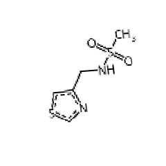 CS(=O)(=O)NCc1cscn1